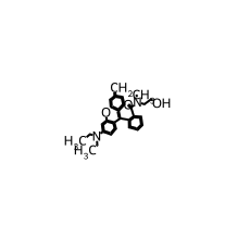 C=c1ccc2c(c1)Oc1cc(N(CC)CC)ccc1C=2c1ccccc1C(=O)N(C)CCO